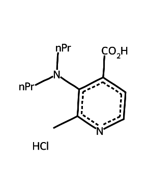 CCCN(CCC)c1c(C(=O)O)ccnc1C.Cl